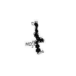 Cc1noc(C)c1S(=O)(=O)N1Cc2cc3c(cc2C[C@H]1C(=O)N[C@@H](Cc1ccc(-c2ccc(C#N)cc2)cc1)C(=O)O)N(C)C(=O)C(c1ccc(OCc2ccc(Cl)c(Cl)c2)cc1)O3